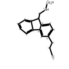 O=C(O)NCC1c2ccccc2-c2cc(CCCl)ccc21